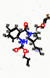 C=CCOC(=O)Nc1cc(C)c(C)cc1C(=O)N1C=C(/C=C/C)C[C@H]1COB=S